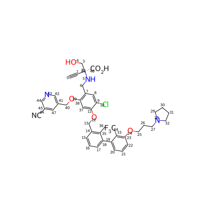 C#C[C@@](CO)(NCc1cc(Cl)c(OCc2cccc(-c3cccc(OCCCN4CCCC4)c3C(F)(F)F)c2C)cc1OCc1cncc(C#N)c1)C(=O)O